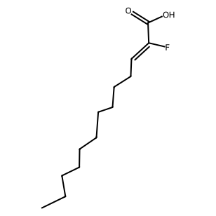 CCCCCCCCCC/C=C(\F)C(=O)O